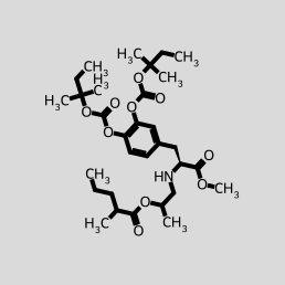 CCCC(C)C(=O)OC(C)CN[C@@H](Cc1ccc(OC(=O)OC(C)(C)CC)c(OC(=O)OC(C)(C)CC)c1)C(=O)OC